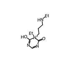 CCNCCC[N+]1(CC)C(=O)N=CN=C1O